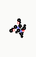 Cc1cc(C(C)(C)C)cc(C)c1N1c2cc(C(C)(C)C)cc3c2B(c2ccc(-c4cc5ccccc5o4)cc2N3c2cccc(-c3cc4ccccc4o3)c2)c2c1oc1ccc(C(C)(C)C)cc21